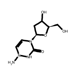 NN1C=CN([C@H]2CC(O)[C@@H](CO)O2)C(=O)N1